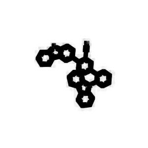 N#Cc1cc(-c2ccccc2-n2c3ccccc3c3ccccc32)ccc1-c1ccc2sc3ccccc3c2c1